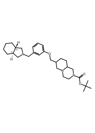 CC(C)(C)OC(=O)N1CCN2CC(COc3cccc(CN4C[C@H]5CCCC[C@@H]5C4)c3)CCC2C1